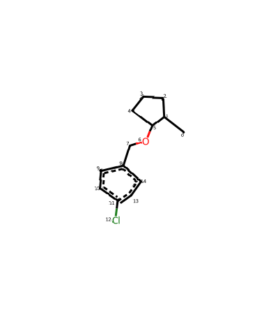 CC1CCCC1OCc1ccc(Cl)cc1